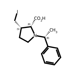 C[C@H](c1ccccc1)N1CC[C@H](CI)[C@@H]1C(=O)O